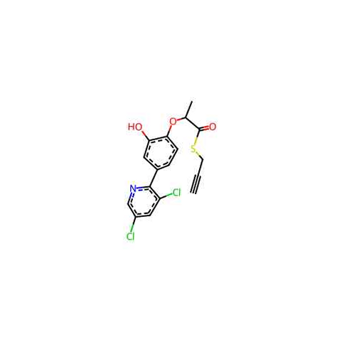 C#CCSC(=O)C(C)Oc1ccc(-c2ncc(Cl)cc2Cl)cc1O